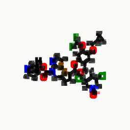 O=C(O[C@@H](Cc1c(Cl)c[n+]([O-])cc1Cl)c1ccc(OC(F)F)c(OCC2CC2)c1)c1ccc(CN(C(=O)O[C@H]2CN3CCC2CC3)c2nccs2)s1